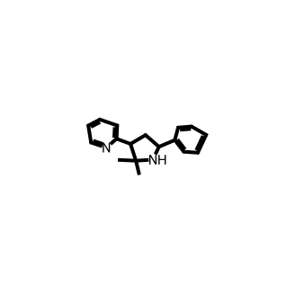 CC1(C)NC(c2ccccc2)CC1c1ccccn1